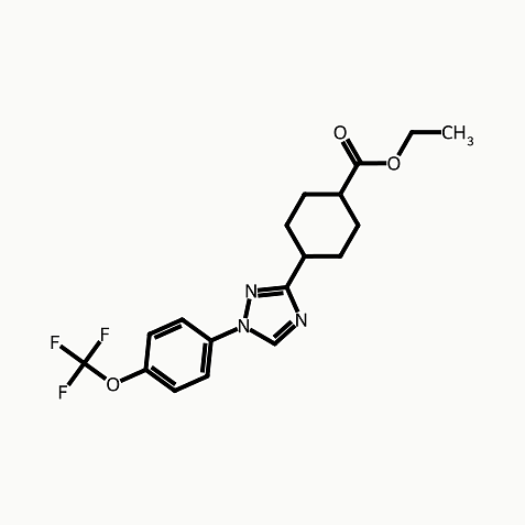 CCOC(=O)C1CCC(c2ncn(-c3ccc(OC(F)(F)F)cc3)n2)CC1